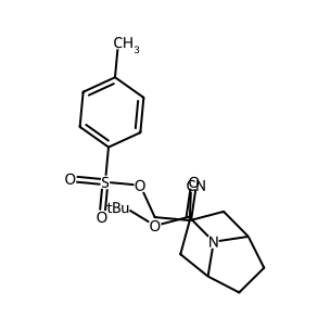 Cc1ccc(S(=O)(=O)OCC2(C#N)CC3CCC(C2)N3C(=O)OC(C)(C)C)cc1